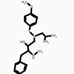 CNC(Cc1ccccc1)C(O)CN(CC(C)C)Sc1ccc(OC)cc1